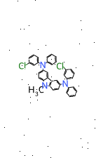 Cn1c2ccc(N(c3ccccc3)c3cccc(Cl)c3)cc2c2cc(N(c3ccccc3)c3cccc(Cl)c3)ccc21